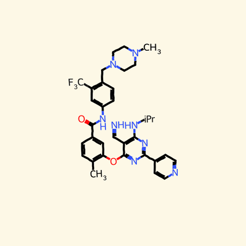 Cc1ccc(C(=O)Nc2ccc(CN3CCN(C)CC3)c(C(F)(F)F)c2)cc1Oc1nc(-c2ccncc2)nc(NC(C)C)c1C=N